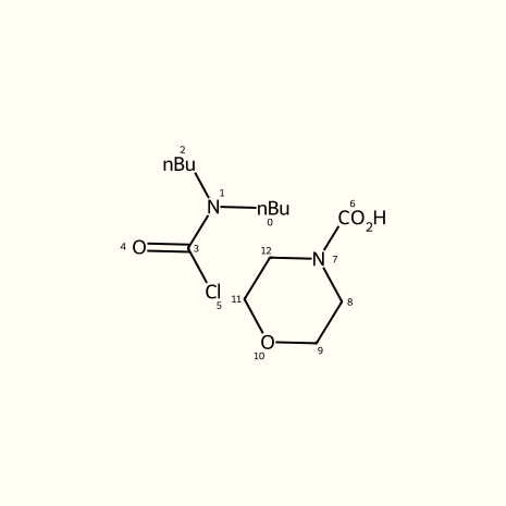 CCCCN(CCCC)C(=O)Cl.O=C(O)N1CCOCC1